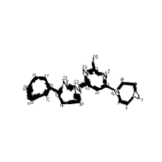 Ic1nc(N2CCOCC2)cc(-n2ccc(-c3ccccc3)n2)n1